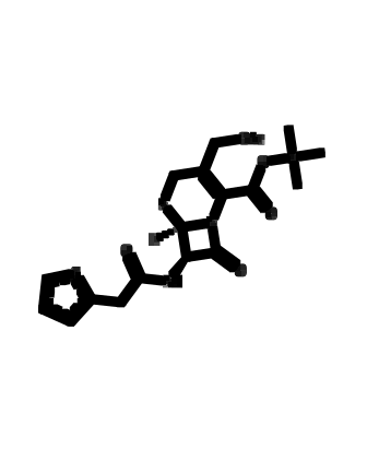 CC(=O)OCC1=C(C(=O)O[Si](C)(C)C)N2C(=O)[C@@H](NC(=O)Cc3cccs3)[C@H]2SC1